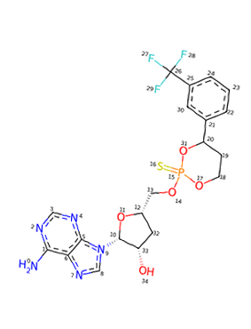 Nc1ncnc2c1ncn2[C@@H]1O[C@H](COP2(=S)OCCC(c3cccc(C(F)(F)F)c3)O2)C[C@@H]1O